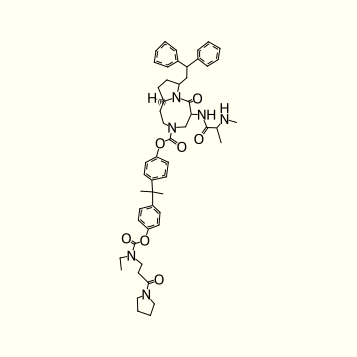 CCN(CCC(=O)N1CCCC1)C(=O)Oc1ccc(C(C)(C)c2ccc(OC(=O)N3CC[C@H]4CCC(CC(c5ccccc5)c5ccccc5)N4C(=O)C(NC(=O)C(C)NC)C3)cc2)cc1